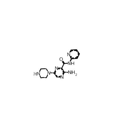 Nc1ncc(N2CCNCC2)nc1C(=O)Nc1ccccn1